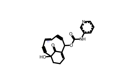 O=C(Nc1cccnc1)OC1C#C/C=C/C#CC2(O)CCC=C1C2=O